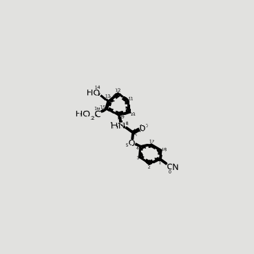 N#Cc1ccc(OC(=O)Nc2cccc(O)c2C(=O)O)cc1